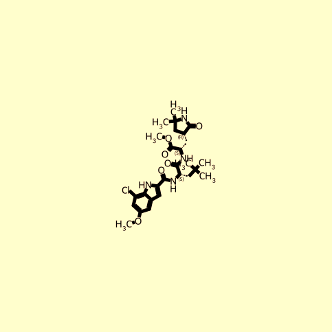 COC(=O)[C@H](C[C@@H]1CC(C)(C)NC1=O)NC(=O)[C@H](CC(C)(C)C)NC(=O)c1cc2cc(OC)cc(Cl)c2[nH]1